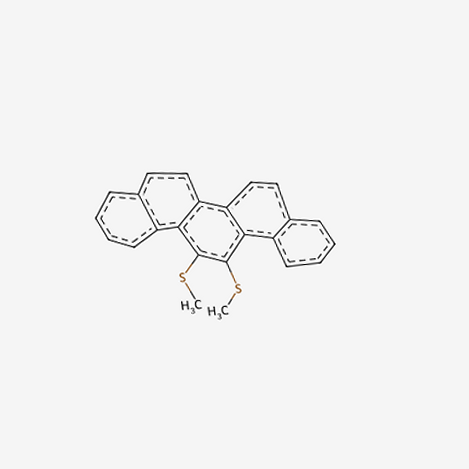 CSc1c(SC)c2c3ccccc3ccc2c2ccc3ccccc3c12